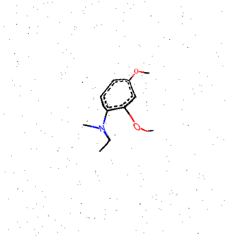 CCN(C)c1ccc(OC)cc1OC